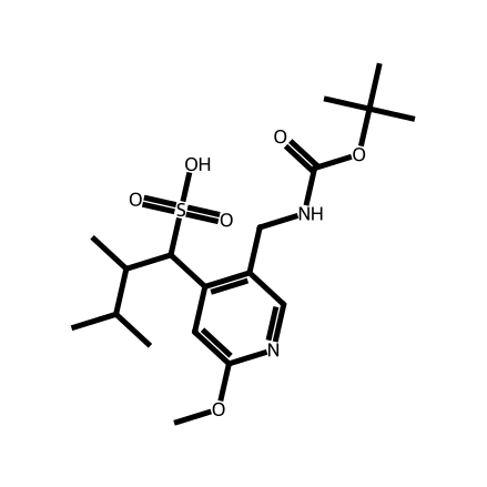 COc1cc(C(C(C)C(C)C)S(=O)(=O)O)c(CNC(=O)OC(C)(C)C)cn1